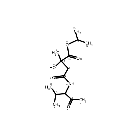 CC(=O)C(NC(=O)CC(C)(O)C(=O)OC(C)C)C(C)C